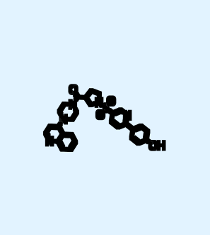 O=C(C1CCN(S(=O)(=O)c2ccc(-c3ccc(O)cc3)nc2)C1)N1CCN(c2ccnc3ccccc23)CC1